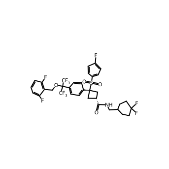 O=C(NCC1CCC(F)(F)CC1)[C@H]1C[C@@](c2ccc(C(OCc3c(F)cccc3F)(C(F)(F)F)C(F)(F)F)cc2)(S(=O)(=O)c2ccc(F)cc2)C1